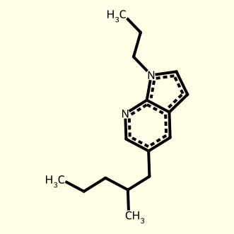 CCCC(C)Cc1cnc2c(ccn2CCC)c1